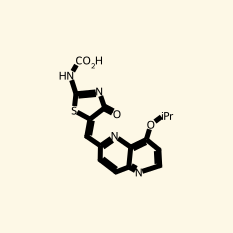 CC(C)Oc1ccnc2ccc(C=C3SC(NC(=O)O)=NC3=O)nc12